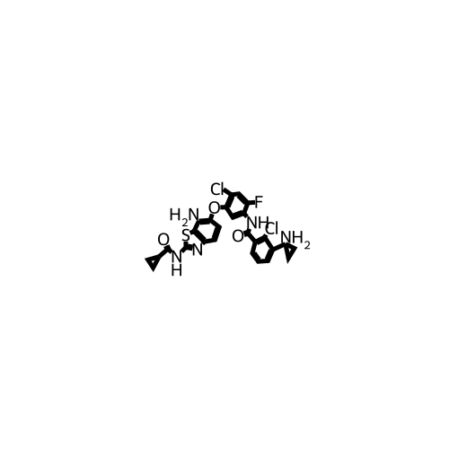 Nc1c(Oc2cc(NC(=O)c3cccc(C4(N)CC4)c3Cl)c(F)cc2Cl)ccc2nc(NC(=O)C3CC3)sc12